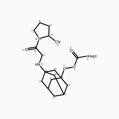 CCCCCCCC(=O)OOC12CC3CC(CC(NCC(=O)N4CCCC4C#N)(C3)C1)C2